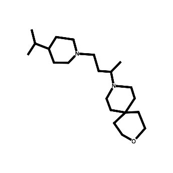 CC(C)C1CCN(CCC(C)N2CCC3(CCOCC3)CC2)CC1